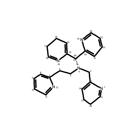 C1=NC(CN(CCc2ccccn2)[C@H](C2=CCCC=N2)c2ccccn2)=CCC1